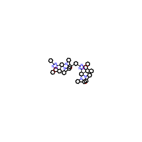 c1ccc(-c2nc(-c3cccc(-c4cccc5c4c4ccccc4n5-c4ccc(-c5nc(-c6ccccc6)nc(-c6ccccc6)n5)c(-c5cccc6ccccc56)c4-n4c5ccccc5c5ccccc54)c3)nc(-c3ccc(-n4c5ccccc5c5ccccc54)c(-n4c5ccccc5c5ccccc54)c3-c3cc4ccccc4c4ccccc34)n2)cc1